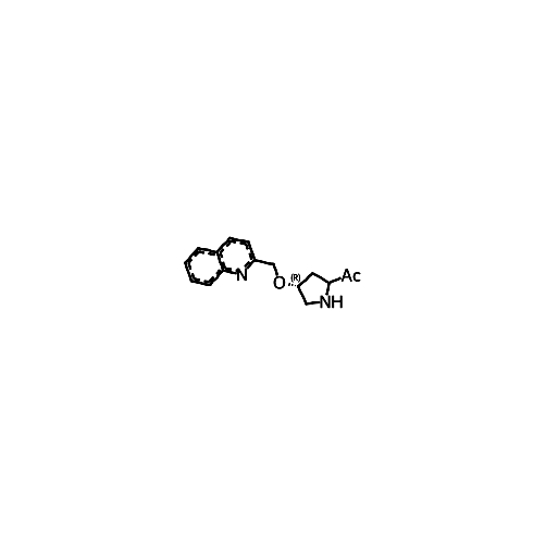 CC(=O)C1C[C@@H](OCc2ccc3ccccc3n2)CN1